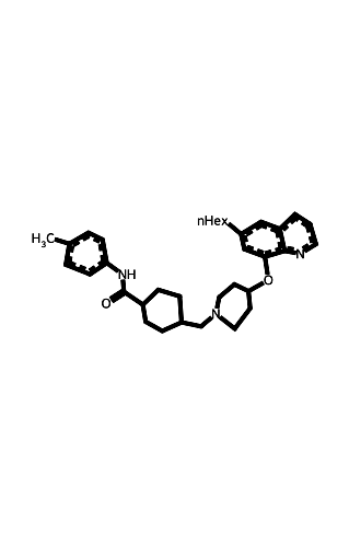 CCCCCCc1cc(OC2CCN(CC3CCC(C(=O)Nc4ccc(C)cc4)CC3)CC2)c2ncccc2c1